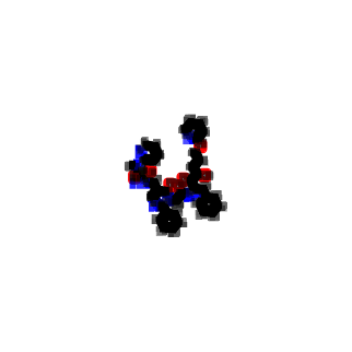 CN(c1ccccn1)S(=O)(=O)NCc1cnc(-c2ccccc2)n(CC(=O)NC(Cc2ccccc2)C(=O)C(=O)CCCOc2ccccn2)c1=O